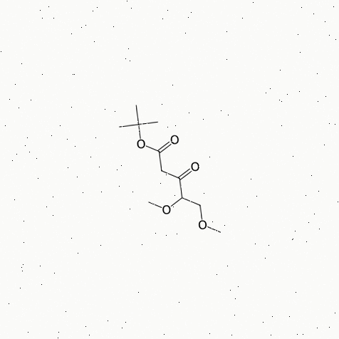 COCC(OC)C(=O)CC(=O)OC(C)(C)C